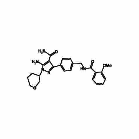 COc1ccccc1C(=O)NCc1ccc(-c2nn(C3CCCOC3)c(N)c2C(N)=O)cc1